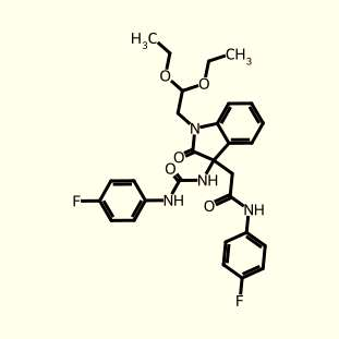 CCOC(CN1C(=O)C(CC(=O)Nc2ccc(F)cc2)(NC(=O)Nc2ccc(F)cc2)c2ccccc21)OCC